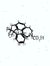 CCOC(=O)N1CCc2ccc3c(c2CC1)C(Cl)(c1ccccc1)C(F)(F)C3